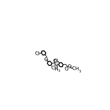 CCOC(=O)Cc1ccc(NC(=O)c2cc(OCc3cccc(Cl)c3)ccc2C)c(Cl)c1